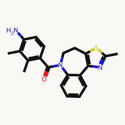 Cc1nc2c(s1)CCN(C(=O)c1ccc(N)c(C)c1C)c1ccccc1-2